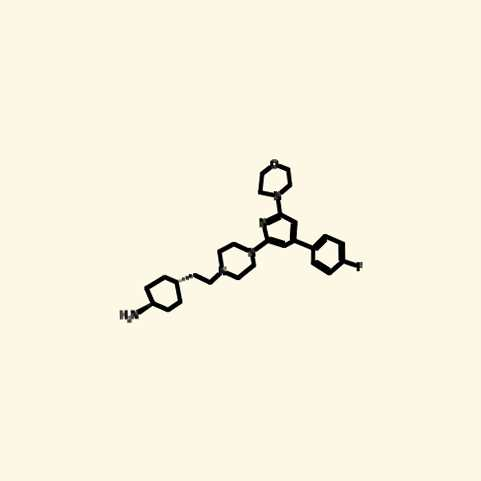 N[C@H]1CC[C@H](CCN2CCN(c3cc(-c4ccc(F)cc4)cc(N4CCOCC4)n3)CC2)CC1